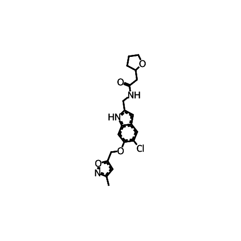 Cc1cc(COc2cc3[nH]c(CNC(=O)CC4CCCO4)cc3cc2Cl)on1